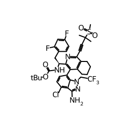 CC(C)(C)OC(=O)N[C@@H](Cc1ccc(F)cc1F)c1nc(C#CC(C)(C)S(C)(=O)=O)c2c(c1-c1ccc(Cl)c3c(N)nn(CC(F)(F)F)c13)CCCC2